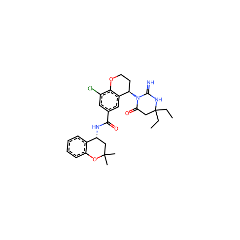 CCC1(CC)CC(=O)N([C@@H]2CCOc3c(Cl)cc(C(=O)N[C@@H]4CC(C)(C)Oc5ccccc54)cc32)C(=N)N1